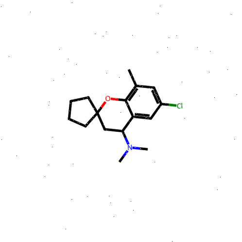 Cc1cc(Cl)cc2c1OC1(CCCC1)CC2N(C)C